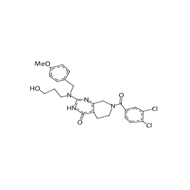 COc1ccc(CN(CCCO)c2nc3c(c(=O)[nH]2)CCN(C(=O)c2ccc(Cl)c(Cl)c2)C3)cc1